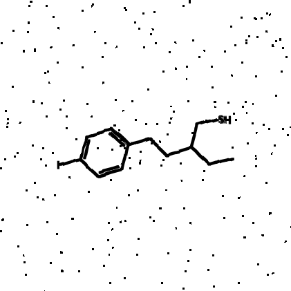 CCC(CS)CCc1ccc(I)cc1